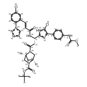 COC(=O)Nc1ccc(-c2nc([C@H](CC(=O)N3C[C@@H]4C[C@H]3CN4C(=O)OC(C)(C)C)NC(=O)/C=C/c3cc(Cl)ccc3-n3cnnn3)[nH]c2Cl)cc1